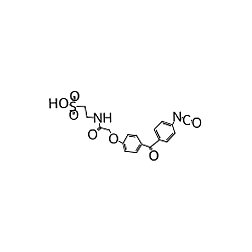 O=C=Nc1ccc(C(=O)c2ccc(OCC(=O)NCCS(=O)(=O)O)cc2)cc1